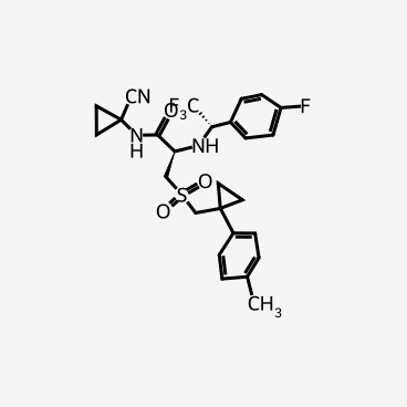 Cc1ccc(C2(CS(=O)(=O)C[C@H](N[C@@H](c3ccc(F)cc3)C(F)(F)F)C(=O)NC3(C#N)CC3)CC2)cc1